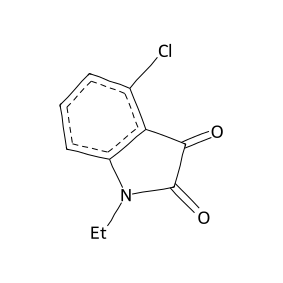 CCN1C(=O)C(=O)c2c(Cl)cccc21